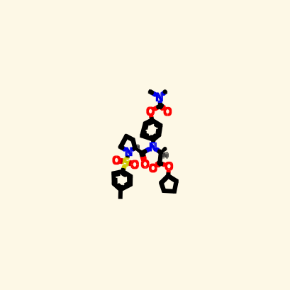 Cc1ccc(S(=O)(=O)N2CCC[C@H]2C(=O)N(c2ccc(OC(=O)N(C)C)cc2)[C@@H](C)C(=O)OC2CCCC2)cc1